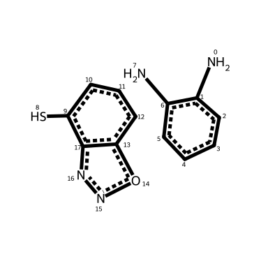 Nc1ccccc1N.Sc1cccc2onnc12